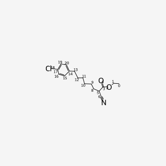 CCOC(=O)C(C#N)CCCCCCc1ccc(Cl)cc1